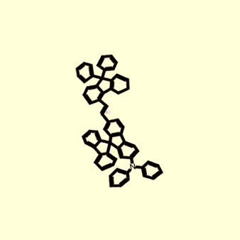 C1=CC2=C(CC1)c1c(/C=C/c3ccc4c(c3)C3(c5ccccc5-c5ccccc53)c3cc(N(c5ccccc5)c5ccccc5)ccc3-4)cccc1C2(c1ccccc1)c1ccccc1